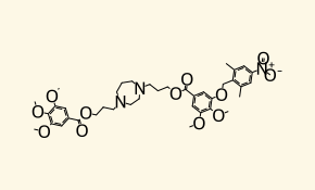 COc1cc(C(=O)OCCCN2CCCN(CCCOC(=O)c3cc(OC)c(OC)c(OCc4c(C)cc([N+](=O)[O-])cc4C)c3)CC2)cc(OC)c1OC